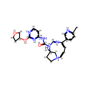 Cc1ccc(C2=CC=CN3CC[C@@H](C3)N(C(=O)Nc3ccnc(O[C@H]4CCOC4)n3)C=N2)cn1